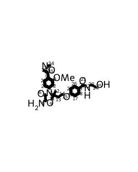 COc1cc(N(C(=O)C(N)=O)C(C)(C)CCOc2ccc(C(=O)NCCO)cc2)ccc1-c1cnco1